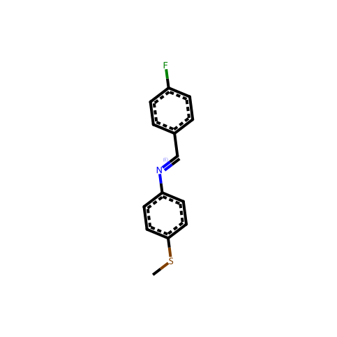 CSc1ccc(/N=C/c2ccc(F)cc2)cc1